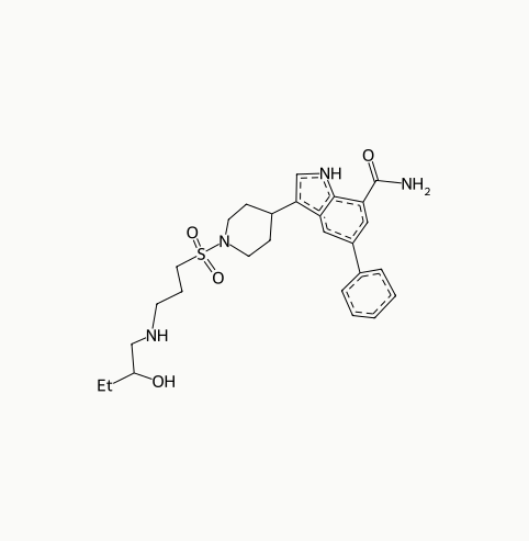 CCC(O)CNCCCS(=O)(=O)N1CCC(c2c[nH]c3c(C(N)=O)cc(-c4ccccc4)cc23)CC1